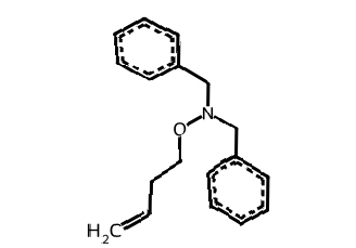 C=CCCON(Cc1ccccc1)Cc1ccccc1